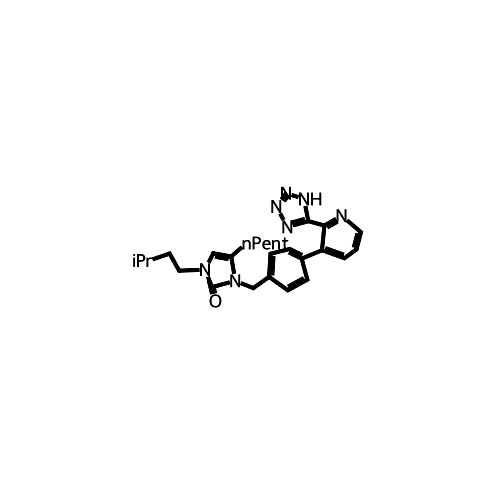 CCCCCc1cn(CCC(C)C)c(=O)n1Cc1ccc(-c2cccnc2-c2nnn[nH]2)cc1